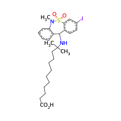 CN1c2ccccc2C(NC(C)(C)CCCCCCCCCC(=O)O)c2ccc(I)cc2S1(=O)=O